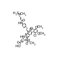 C=CC(=O)NC1CN(C(=O)CO)CC1Nc1ncc2cc(-c3c(Cl)c(OC)cc(OC)c3Cl)c(=O)n(CCc3ccc(NC(=O)/C=C/CN(C)C)cc3)c2n1